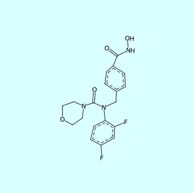 O=C(NO)c1ccc(CN(C(=O)N2CCOCC2)c2ccc(F)cc2F)cc1